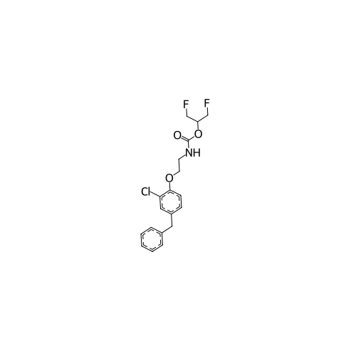 O=C(NCCOc1ccc(Cc2ccccc2)cc1Cl)OC(CF)CF